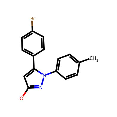 Cc1ccc(-n2nc([O])cc2-c2ccc(Br)cc2)cc1